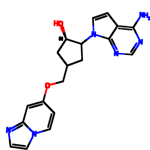 Nc1ncnc2c1ccn2C1CC(COc2ccn3ccnc3c2)C[C@H]1O